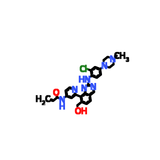 C=CC(=O)Nc1ccnc(-c2c(CO)ccc3cnc(Nc4ccc(N5CCN(C)CC5)cc4Cl)nc23)c1